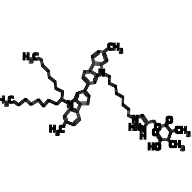 CCCCCCCCC(CCCCCCCC)n1c2cc(C)ccc2c2ccc(-c3ccc4c5ccc(C)cc5n(CCCCCCCCN5C=C(COC(=O)C(C)C(C)C(=O)O)NN5)c4c3)cc21